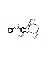 CC(C)(C)Oc1cc(C(=O)OCc2ccccc2)cc(OC(C)(C)C)c1CN1CCN(CC(=O)O)CCNCCN(CC(=O)O)CC1